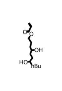 C=CC(=O)OCCCC(O)CCC(O)CCCC